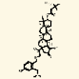 CC(C)C1=C2[C@H]3CC[C@@H]4[C@@]5(C)CC[C@H](OC(=O)CC(C)(C)C(=O)O)C(C)(C)[C@@H]5CC[C@@]4(C)[C@]3(C)CCC2([C@H](O)CNCc2ccc(Cl)cc2CN(C)C)CC1=O